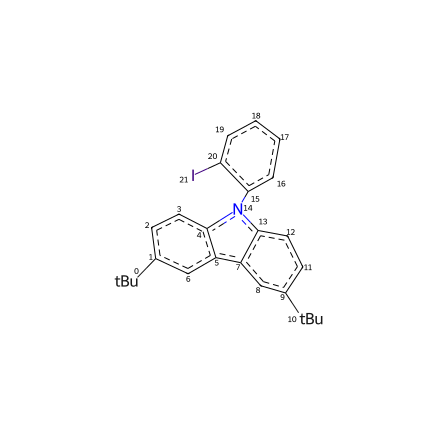 CC(C)(C)c1ccc2c(c1)c1cc(C(C)(C)C)ccc1n2-c1ccccc1I